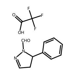 O=C(O)C(F)(F)F.O=CN1N=CCC1c1ccccc1